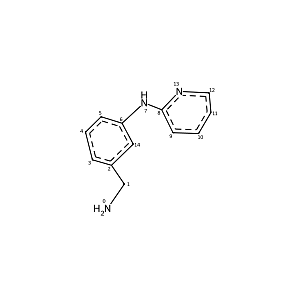 NCc1cccc(Nc2ccccn2)c1